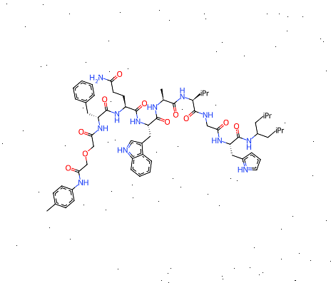 Cc1ccc(NC(=O)COCC(=O)N[C@H](Cc2ccccc2)C(=O)N[C@@H](CCC(N)=O)C(=O)N[C@@H](Cc2c[nH]c3ccccc23)C(=O)N[C@@H](C)C(=O)N[C@H](C(=O)NCC(=O)N[C@@H](Cc2ccc[nH]2)C(=O)NC(CC(C)C)CC(C)C)C(C)C)cc1